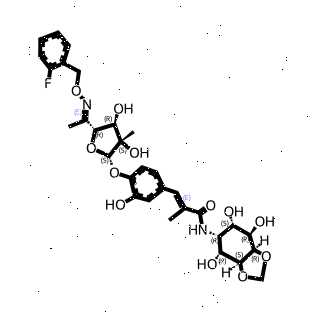 C/C(=C\c1ccc(O[C@@H]2O[C@H](/C(C)=N/OCc3ccccc3F)[C@@H](O)[C@]2(C)O)c(O)c1)C(=O)N[C@@H]1[C@H](O)[C@@H](O)[C@H]2OCO[C@H]2[C@@H]1O